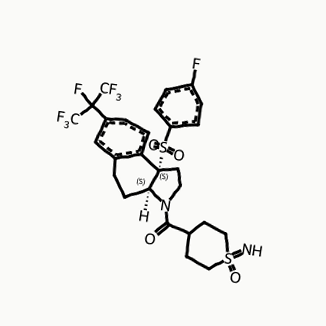 N=S1(=O)CCC(C(=O)N2CC[C@]3(S(=O)(=O)c4ccc(F)cc4)c4ccc(C(F)(C(F)(F)F)C(F)(F)F)cc4CC[C@H]23)CC1